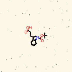 CC(C)(C)OC(=O)n1cc(CCC(=O)O)c2ccccc21